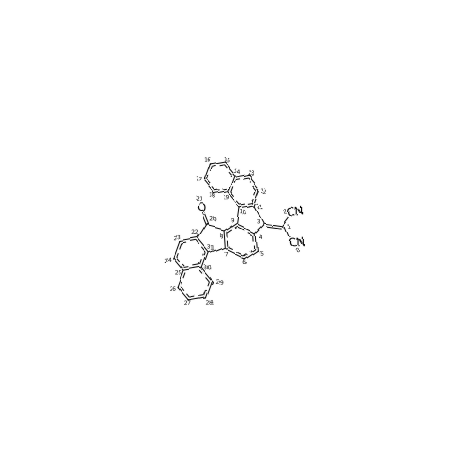 N#CC(C#N)=C1c2ccc3c(c2-c2c1ccc1ccccc21)C(=O)c1ccc2ccccc2c1-3